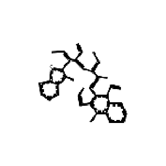 C=CC(=C\C(=C/C)C(\C)=C\c1c(/C=C\C)c(C)c2ccccc2c1C=C)/C(=C/C)c1sc2ccccc2c1C